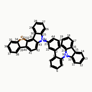 c1cc(-c2ccccc2-n2c3ccccc3c3ccccc32)cc(-n2c3ccccc3c3c4sc5ccccc5c4ccc32)c1